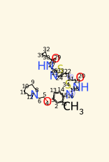 Cc1cc(OCCN2CCCCC2)ccc1/N=C1/NC(=O)/C(=C/c2cnc(NC(=O)C3CC3)s2)S1